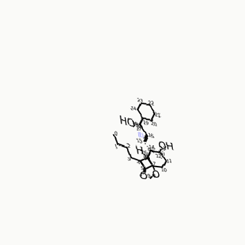 CCCCC1C(=O)C2(OC)CC[C@H](O)[C@@H](/C=C/[C@H](O)C3CCCCC3)[C@H]12